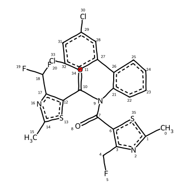 Cc1nc(CF)c(C(=O)N(C(=O)c2sc(C)nc2C(F)F)c2ccccc2-c2cc(Cl)cc(Cl)c2)s1